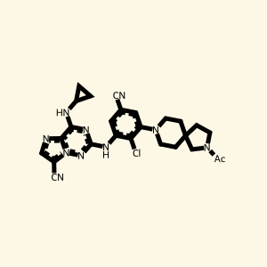 CC(=O)N1CCC2(CCN(c3cc(C#N)cc(Nc4nc(NC5CC5)c5ncc(C#N)n5n4)c3Cl)CC2)C1